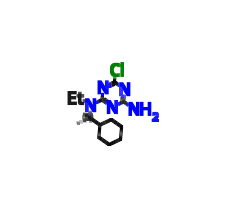 CCN(c1nc(N)nc(Cl)n1)[C@@H](C)C1CCCCC1